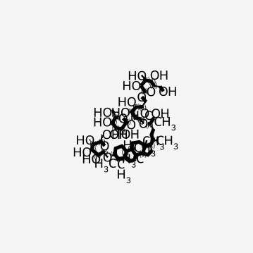 C[C@H](CC[C@@H](O[C@@H]1O[C@H](CO[C@@H]2O[C@H](CO)[C@@H](O)[C@H](O)C2O)[C@@H](O)[C@H](O)[C@H]1O[C@@H]1O[C@H](CO)[C@@H](O)[C@H](O)[C@H]1O)C(C)(C)O)[C@H]1CC[C@@]2(C)C3CC=C4[C@@H](CC[C@H](O[C@@H]5O[C@H](CO)[C@@H](O)[C@H](O)[C@H]5O)C4(C)C)[C@]3(C)CC[C@]12C